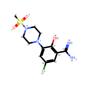 CS(=O)(=O)N1CCN(c2cc(Cl)cc(C(=N)N)c2O)CC1